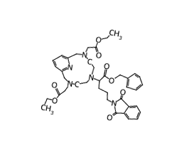 CCOC(=O)CN1CCN(C(CCCN2C(=O)c3ccccc3C2=O)C(=O)OCc2ccccc2)CCN(CC(=O)OCC)Cc2cccc(n2)C1